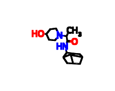 CC(C(=O)NC1C2CC3CC(C2)CC1C3)N1CCC(O)CC1